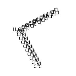 CO.ClC(Cl)Cl.ClC(Cl)Cl.ClC(Cl)Cl.ClC(Cl)Cl.ClC(Cl)Cl.ClC(Cl)Cl.ClC(Cl)Cl.ClC(Cl)Cl.ClC(Cl)Cl.ClC(Cl)Cl.ClC(Cl)Cl.ClC(Cl)Cl.ClC(Cl)Cl.ClC(Cl)Cl.ClC(Cl)Cl.ClC(Cl)Cl.ClC(Cl)Cl.ClC(Cl)Cl.ClC(Cl)Cl